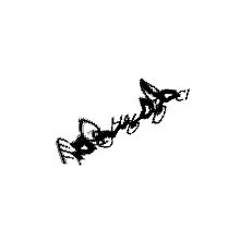 COc1ccc(Cl)cc1C(=O)N1CCCC(C(=O)NCC/C=C/S(=O)(=O)c2ccc(C(F)(F)F)cc2)C1